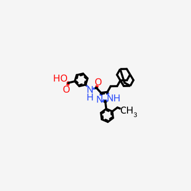 CCc1ccccc1-c1nc(C(=O)Nc2cccc(C(=O)O)c2)c(CCC23CC4CC(CC(C4)C2)C3)[nH]1